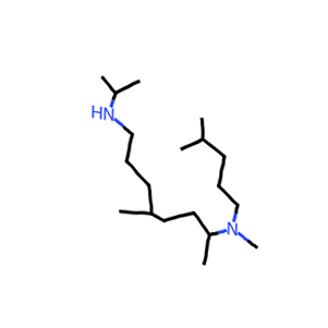 CC(C)CCCN(C)C(C)CCC(C)CCCNC(C)C